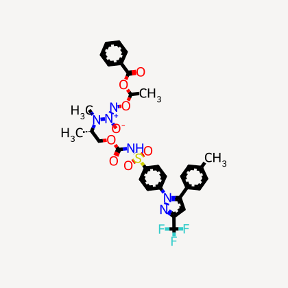 Cc1ccc(-c2cc(C(F)(F)F)nn2-c2ccc(S(=O)(=O)NC(=O)OC[C@H](C)N(C)/[N+]([O-])=N/OC(C)OC(=O)c3ccccc3)cc2)cc1